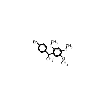 [CH2]C(c1ccc(Br)cc1)c1cc(OC)c(OC)cc1OC